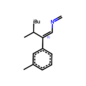 C=N/C=C(/c1cccc(C)c1)C(C)C(C)CC